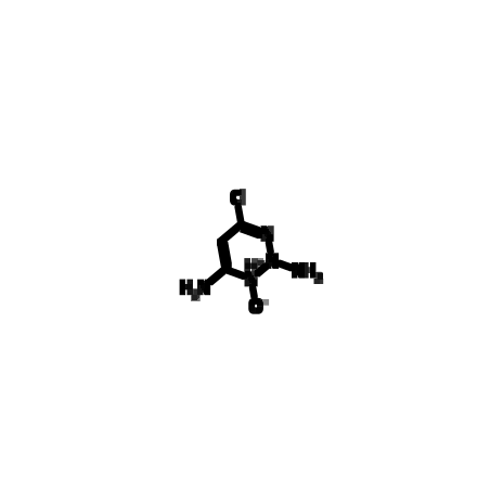 NC1=CC(Cl)=NN(N)[NH+]1[O-]